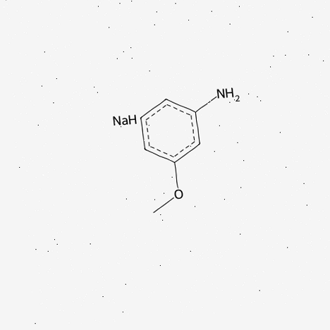 COc1cccc(N)c1.[NaH]